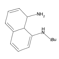 CCC(C)NC1=CC=CC2=CC=CC(N)C21